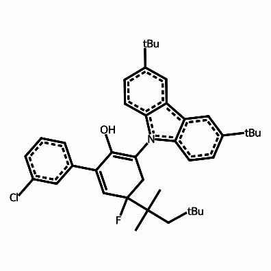 CC(C)(C)CC(C)(C)C1(F)C=C(c2cccc(Cl)c2)C(O)=C(n2c3ccc(C(C)(C)C)cc3c3cc(C(C)(C)C)ccc32)C1